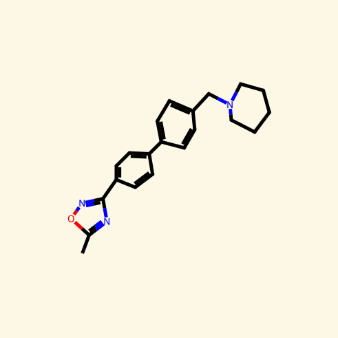 Cc1nc(-c2ccc(-c3ccc(CN4CCCCC4)cc3)cc2)no1